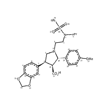 CCCN(CCN1C[C@H](c2ccc3c(c2)OCO3)[C@H](C(=O)O)[C@H]1c1ccc(OC)cc1)S(=O)(=O)CCC